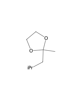 CC(C)CC1(C)OCCO1